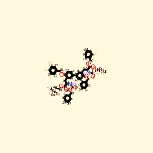 CC(C)(C)OC(=O)NC(Cc1cc(-c2ccc(OCc3ccccc3)c(CC(NC(=O)OCc3ccccc3)C(=O)OCC[Si](C)(C)C)c2)ccc1OCc1ccccc1)C(=O)OCc1ccccc1